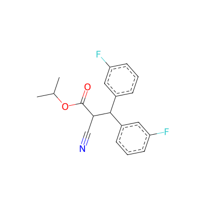 CC(C)OC(=O)C(C#N)C(c1cccc(F)c1)c1cccc(F)c1